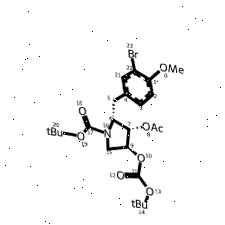 COc1ccc(C[C@@H]2[C@H](OC(C)=O)[C@@H](OC(=O)OC(C)(C)C)CN2C(=O)OC(C)(C)C)cc1Br